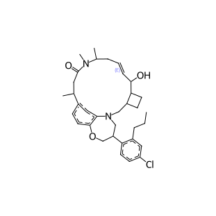 CCCc1cc(Cl)ccc1C1COc2ccc3cc2N(C1)CC1CCC1C(O)/C=C/CC(C)N(C)C(=O)CC3C